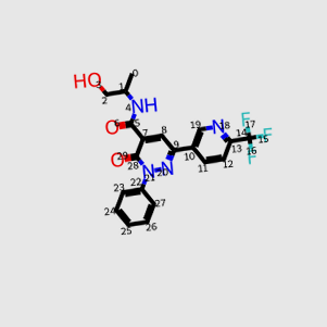 CC(CO)NC(=O)c1cc(-c2ccc(C(F)(F)F)nc2)nn(-c2ccccc2)c1=O